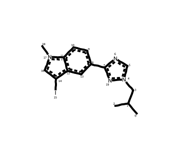 CC(C)Cn1cnc(-c2ccc3c(c2)c(I)cn3C)n1